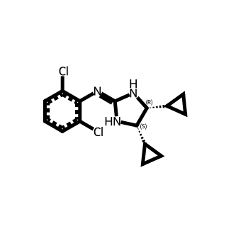 Clc1cccc(Cl)c1N=C1N[C@H](C2CC2)[C@H](C2CC2)N1